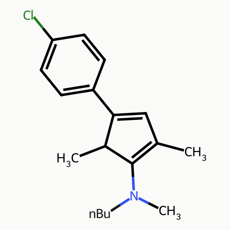 CCCCN(C)C1=C(C)C=C(c2ccc(Cl)cc2)C1C